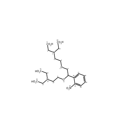 O=C(O)CN(CCOCC(OCCN(CC(=O)O)CC(=O)O)c1ccccc1[N+](=O)[O-])CC(=O)O